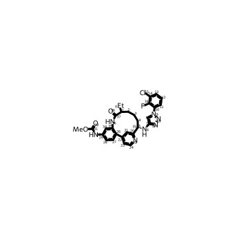 CCC1CCC[C@H](Nc2cn(-c3cccc(Cl)c3F)nn2)c2cc(ccn2)-c2ccc(NC(=O)OC)cc2NC1=O